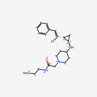 CC/C(=C\c1ccccc1)[C@@H]1C[C@H]1NC1CCN(CC(=O)NCCSC)CC1